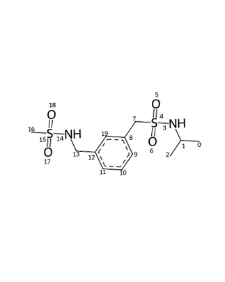 CC(C)NS(=O)(=O)Cc1cccc(CNS(C)(=O)=O)c1